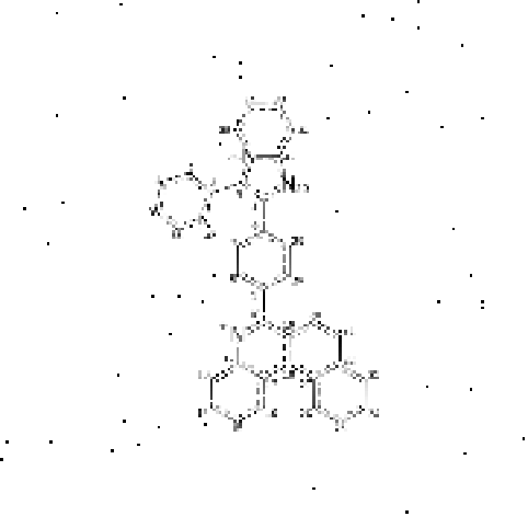 c1ccc(-c2c(-c3ccc(-c4nc5ccccc5c5c4ccc4ccccc45)cc3)nc3ccccn23)nc1